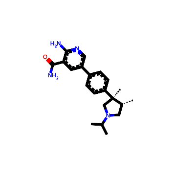 CC(C)N1C[C@@H](C)[C@](C)(c2ccc(-c3cnc(N)c(C(N)=O)c3)cc2)C1